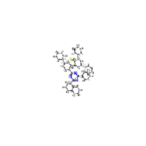 c1ccc(-c2cc(-c3ccccc3)c3sc4c(-c5ccccc5)ccc(-c5nc(-c6ccccc6)nc(-c6cccc7ccccc67)n5)c4c3c2)cc1